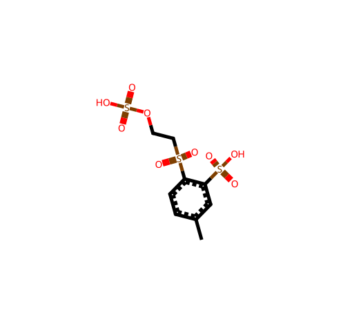 Cc1ccc(S(=O)(=O)CCOS(=O)(=O)O)c(S(=O)(=O)O)c1